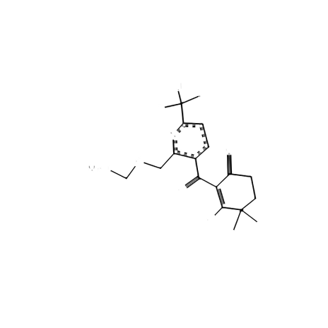 COCOCc1nc(C(F)(F)C(F)(F)F)ccc1C(=O)C1=C(O)C(C)(C)CCC1=O